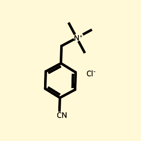 C[N+](C)(C)Cc1ccc(C#N)cc1.[Cl-]